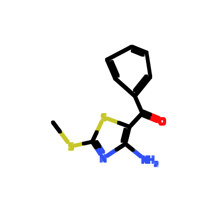 CSc1nc(N)c(C(=O)c2ccccc2)s1